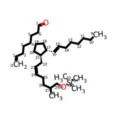 C=CCCCCCC=O.CCCCCC/C=C/[C@H]1CCC[C@@H]1C/C=C\CCC(C)CO[Si](C)(C)C